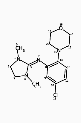 CN1CCN(C)C1=Nc1cc(Cl)ccc1N1CCOCC1